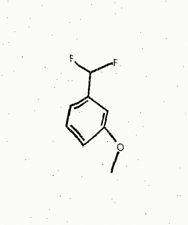 COc1[c]ccc(C(F)F)c1